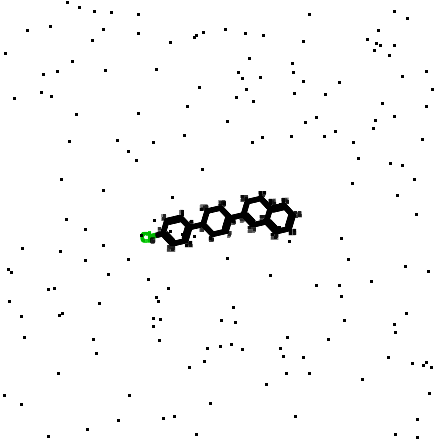 Clc1ccc(C2CC=C(C3=Cc4ccccc4CC3)CC2)cc1